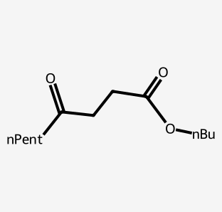 CCCCCC(=O)CCC(=O)OCCCC